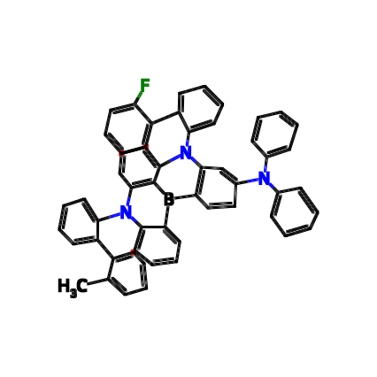 Cc1ccccc1-c1ccccc1N1c2ccccc2B2c3ccc(N(c4ccccc4)c4ccccc4)cc3N(c3ccccc3-c3ccccc3F)c3cccc1c32